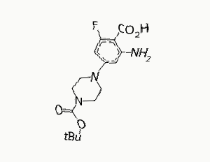 CC(C)(C)OC(=O)N1CCN(c2cc(N)c(C(=O)O)c(F)c2)CC1